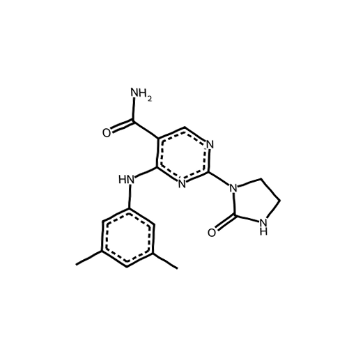 Cc1cc(C)cc(Nc2nc(N3CCNC3=O)ncc2C(N)=O)c1